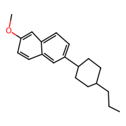 CCCC1CCC(c2ccc3cc(OC)ccc3c2)CC1